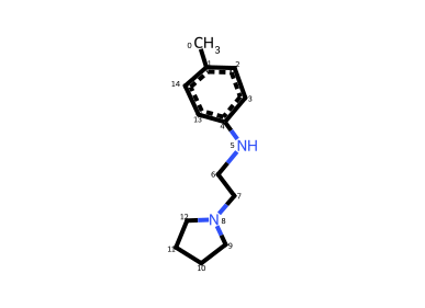 Cc1ccc(NCCN2CCCC2)cc1